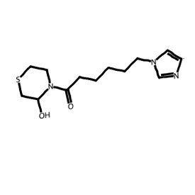 O=C(CCCCCn1c[c]nc1)N1CCSCC1O